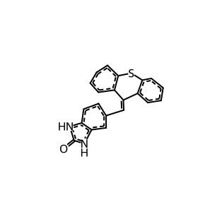 O=c1[nH]c2ccc(C=C3c4ccccc4Sc4ccccc43)cc2[nH]1